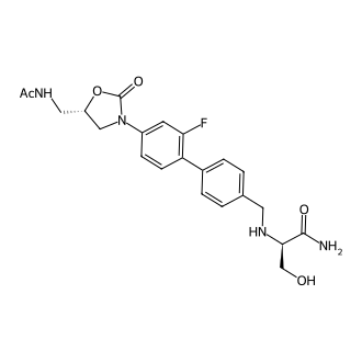 CC(=O)NC[C@H]1CN(c2ccc(-c3ccc(CN[C@H](CO)C(N)=O)cc3)c(F)c2)C(=O)O1